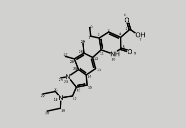 CCc1cc(C(=O)O)c(=O)[nH]c1-c1cc2cc(CN(CC)CC)n(C)c2c(C)c1C